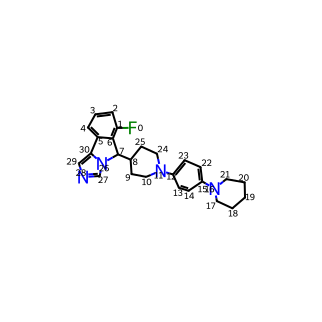 Fc1cccc2c1C(C1CCN(c3ccc(N4CCCCC4)cc3)CC1)n1cncc1-2